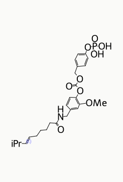 COc1cc(CNC(=O)CCCC/C=C/C(C)C)ccc1OC(=O)OCc1ccc(OP(=O)(O)O)cc1